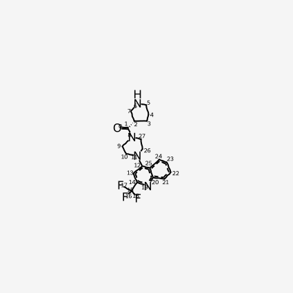 O=C([C@H]1CCCNC1)N1CCN(c2cc(C(F)(F)F)nc3ccccc23)CC1